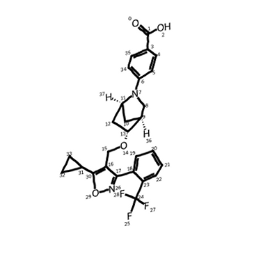 O=C(O)c1ccc(N2C[C@@H]3C[C@H]2C[C@H]3OCc2c(-c3ccccc3C(F)(F)F)noc2C2CC2)cc1